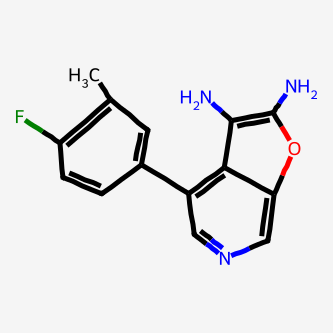 Cc1cc(-c2cncc3oc(N)c(N)c23)ccc1F